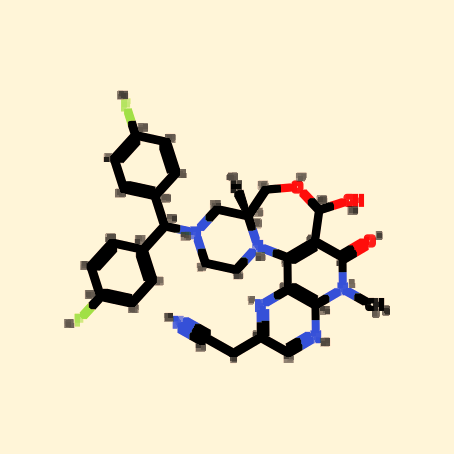 Cn1c(=O)c2c(c3nc(CC#N)cnc31)N1CCN(C(c3ccc(F)cc3)c3ccc(F)cc3)C[C@@H]1COC2O